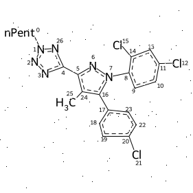 CCCCCn1nnc(-c2nn(-c3ccc(Cl)cc3Cl)c(-c3ccc(Cl)cc3)c2C)n1